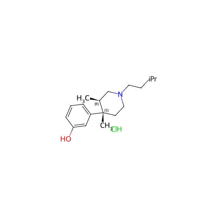 CC(C)CCN1CC[C@](C)(c2cccc(O)c2)[C@@H](C)C1.Cl